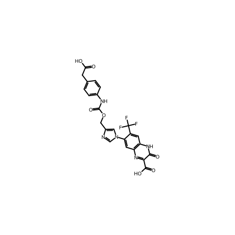 O=C(O)Cc1ccc(NC(=O)OCc2cn(-c3cc4nc(C(=O)O)c(=O)[nH]c4cc3C(F)(F)F)cn2)cc1